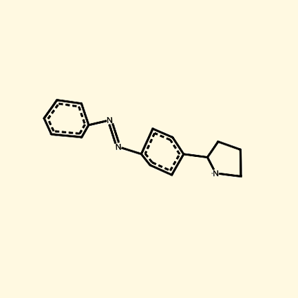 c1ccc(N=Nc2ccc(C3CCC[N]3)cc2)cc1